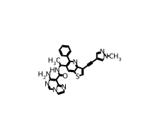 CC(NC(=O)c1c(N)ncn2ccnc12)c1cc2scc(C#Cc3cnn(C)c3)c2nc1-c1ccccc1